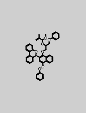 C=C(C)C(OC)OC(COc1ccccc1)COc1c(P2Oc3ccccc3-c3ccccc32)cc(OOc2ccccc2)c2ccccc12